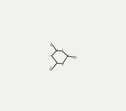 ClC1CC(Cl)CC(Cl)C1